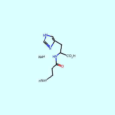 CCCCCCCCCCCC(=O)NC(Cc1c[nH]cn1)C(=O)O.[NaH]